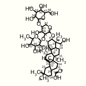 CC1OC(OC2C(O[C@H]3CC[C@@]4(C)C(CC[C@]5(C)C4CC=C4C6CC(C)(C)CC[C@]6(C(=O)O)CC[C@]45C)[C@]3(C)CO)OCC(OC3OC(CO)C(O)C(O)C3O)C2O)C(O)C(O)C1O